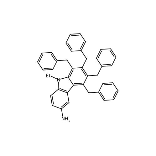 CCn1c2ccc(N)cc2c2c(Cc3ccccc3)c(Cc3ccccc3)c(Cc3ccccc3)c(Cc3ccccc3)c21